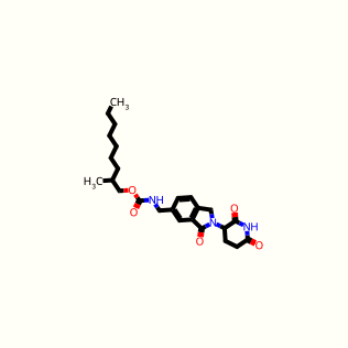 CCCCCCCC(C)COC(=O)NCc1ccc2c(c1)C(=O)N(C1CCC(=O)NC1=O)C2